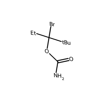 CCC(Br)(OC(N)=O)C(C)(C)C